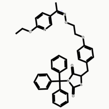 CCOc1ccc(/C(C)=N\OCCOc2ccc(CC3SC(=O)N(C(c4ccccc4)(c4ccccc4)c4ccccc4)C3=O)cc2)cn1